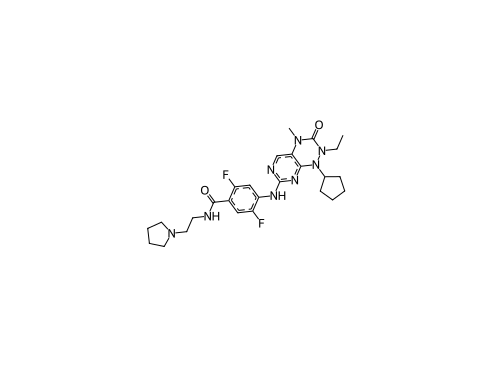 CCN1C(=O)N(C)c2cnc(Nc3cc(F)c(C(=O)NCCN4CCCC4)cc3F)nc2N1C1CCCC1